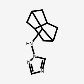 c1ncn(NC2C3CC4CC2CC4C3)n1